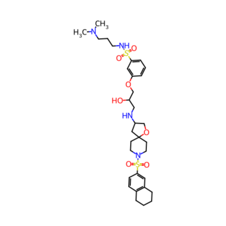 CN(C)CCCNS(=O)(=O)c1cccc(OCC(O)CNC2COC3(CCN(S(=O)(=O)c4ccc5c(c4)CCCC5)CC3)C2)c1